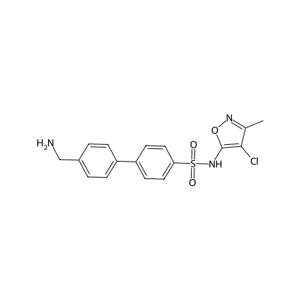 Cc1noc(NS(=O)(=O)c2ccc(-c3ccc(CN)cc3)cc2)c1Cl